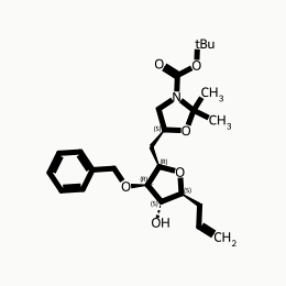 C=CC[C@@H]1O[C@H](C[C@H]2CN(C(=O)OC(C)(C)C)C(C)(C)O2)[C@H](OCc2ccccc2)[C@H]1O